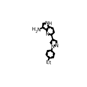 CCc1ccc(-n2cc(-c3ccc4[nH]cc(N)c4n3)cn2)cc1